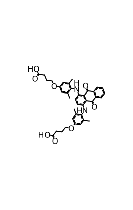 Cc1cc(OCCCC(=O)O)cc(C)c1Nc1ccc(Nc2c(C)cc(OCCCC(=O)O)cc2C)c2c1C(=O)c1ccccc1C2=O